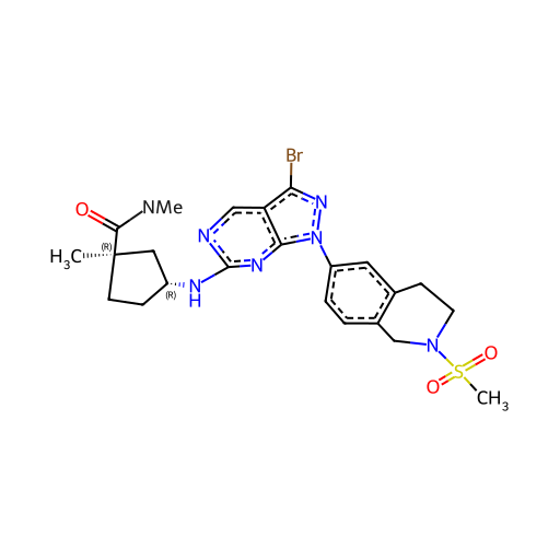 CNC(=O)[C@]1(C)CC[C@@H](Nc2ncc3c(Br)nn(-c4ccc5c(c4)CCN(S(C)(=O)=O)C5)c3n2)C1